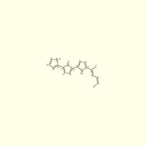 C/C=C\C=C(/C)c1ccc(-c2ccc(-c3cccs3)s2)s1